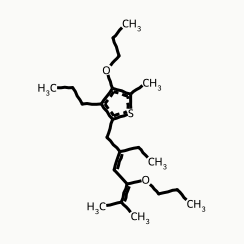 CCCOC(/C=C(\CC)Cc1sc(C)c(OCCC)c1CCC)=C(C)C